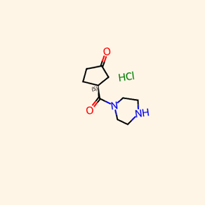 Cl.O=C1CC[C@H](C(=O)N2CCNCC2)C1